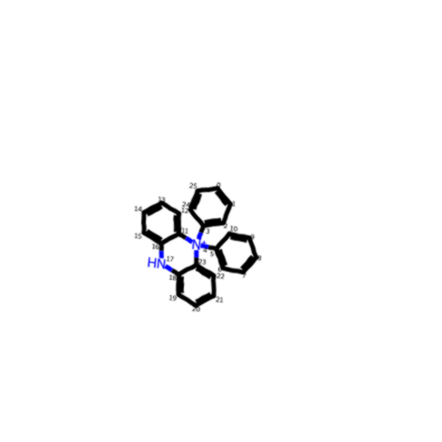 c1ccc([N+]2(c3ccccc3)c3ccccc3Nc3ccccc32)cc1